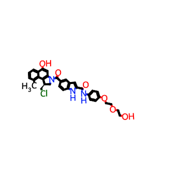 Cc1cccc2c(O)cc3c(c12)[C@H](CCl)CN3C(=O)c1ccc2[nH]c(C(=O)Nc3ccc(OCCOCCO)cc3)cc2c1